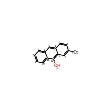 CCc1ccc2cc3ccccc3c(O)c2c1